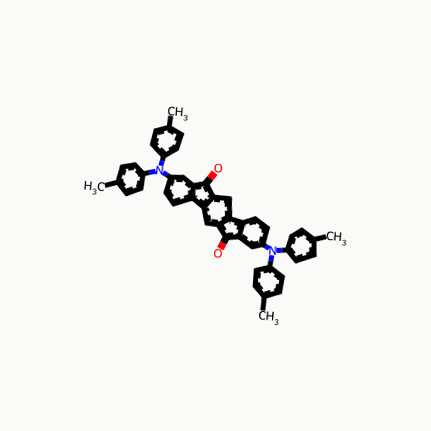 Cc1ccc(N(c2ccc(C)cc2)c2ccc3c(c2)c(=O)c2cc4c(cc23)c(=O)c2cc(N(c3ccc(C)cc3)c3ccc(C)cc3)ccc24)cc1